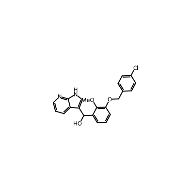 COc1c(OCc2ccc(Cl)cc2)cccc1C(O)c1c[nH]c2ncccc12